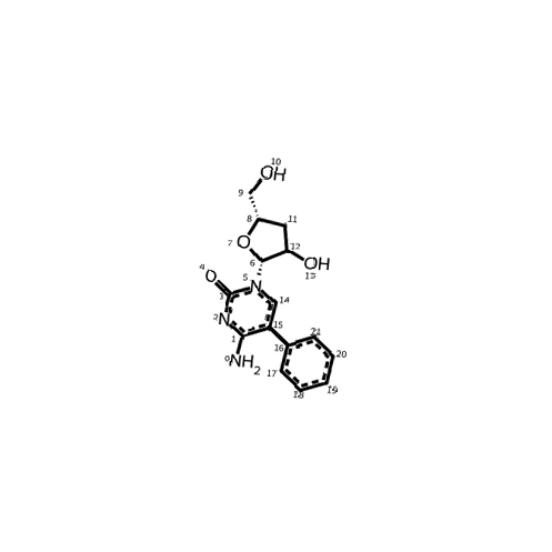 Nc1nc(=O)n([C@@H]2O[C@H](CO)CC2O)cc1-c1ccccc1